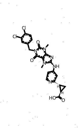 Cn1c(Nc2ccnc([C@@H]3C[C@H]3C(=O)O)c2)nc2c1c(=O)n(Cc1ccc(Cl)c(Cl)c1)c(=O)n2C